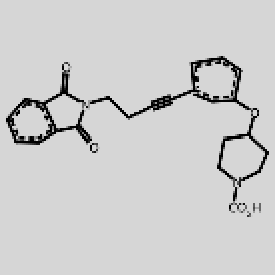 O=C(O)N1CCC(Oc2cccc(C#CCCN3C(=O)c4ccccc4C3=O)c2)CC1